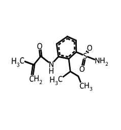 C=C(C)C(=O)Nc1cccc(S(N)(=O)=O)c1C(C)CC